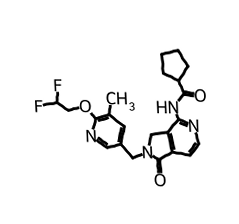 Cc1cc(CN2Cc3c(ccnc3NC(=O)C3CCCC3)C2=O)cnc1OCC(F)F